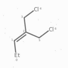 CCC=C(CCl)CCl